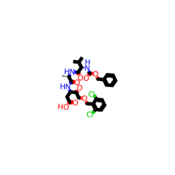 CC(C)[C@H](NC(=O)OCc1ccccc1)C(=O)N[C@@H](C)C(=O)NC(CC(=O)O)C(=O)COCc1c(Cl)cccc1Cl